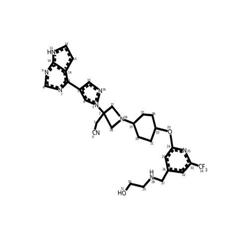 N#CCC1(n2cc(-c3ncnc4[nH]ccc34)cn2)CN(C2CCC(Oc3cc(CNCCO)cc(C(F)(F)F)n3)CC2)C1